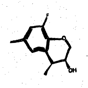 Cc1cc(F)c2c(c1)[C@H](C)[C@H](O)CO2